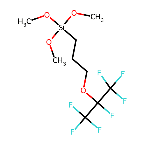 CO[Si](CCCOC(F)(C(F)(F)F)C(F)(F)F)(OC)OC